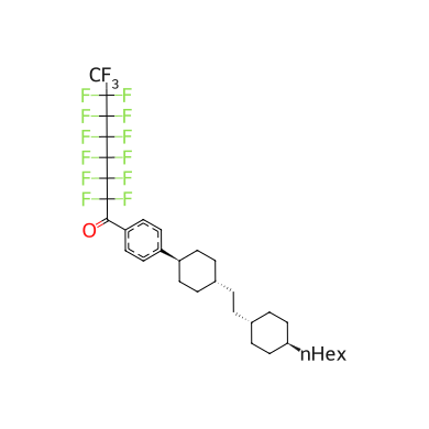 CCCCCC[C@H]1CC[C@H](CC[C@H]2CC[C@H](c3ccc(C(=O)C(F)(F)C(F)(F)C(F)(F)C(F)(F)C(F)(F)C(F)(F)C(F)(F)F)cc3)CC2)CC1